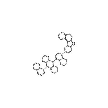 c1ccc2c(-c3c4ccccc4c(-c4ccc(-c5ccc6oc7ccc8ccccc8c7c6c5)c5ccccc45)c4ccccc34)cccc2c1